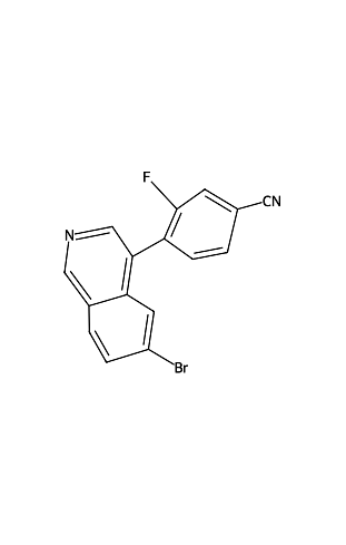 N#Cc1ccc(-c2cncc3ccc(Br)cc23)c(F)c1